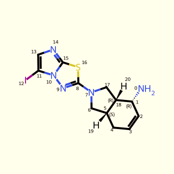 N[C@@H]1C=CC[C@@H]2CN(c3nn4c(I)cnc4s3)C[C@@H]21